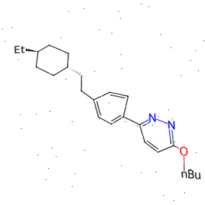 CCCCOc1ccc(-c2ccc(CC[C@H]3CC[C@H](CC)CC3)cc2)nn1